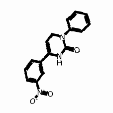 O=C1NC(c2cccc([N+](=O)[O-])c2)=CCN1c1ccccc1